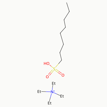 CCCCCCCCS(=O)(=O)O.CC[N+](CC)(CC)CC